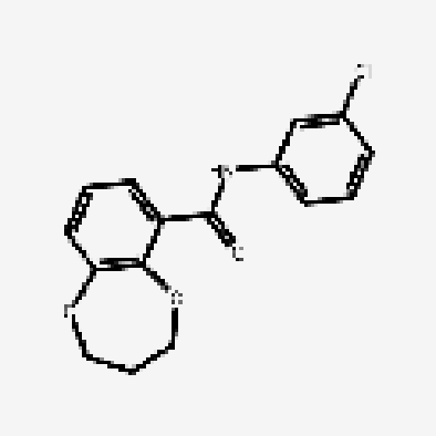 O=C(Nc1cccc(Cl)c1)c1cccc2c1OCCCO2